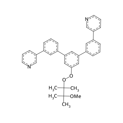 COC(C)(C)C(C)(C)OOc1cc(-c2cccc(-c3cccnc3)c2)cc(-c2cccc(-c3cccnc3)c2)c1